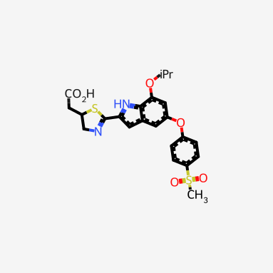 CC(C)Oc1cc(Oc2ccc(S(C)(=O)=O)cc2)cc2cc(C3=NCC(CC(=O)O)S3)[nH]c12